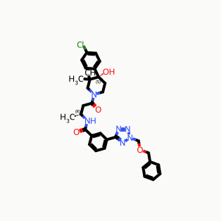 C[C@H](CC(=O)N1CC[C@](O)(c2ccc(Cl)cc2)C(C)(C)C1)NC(=O)c1cccc(-c2nnn(COCc3ccccc3)n2)c1